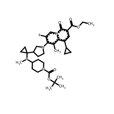 CCOC(=O)c1cc(C2CC2)c2c(C)c(N3CCC(C4(N(C)C5CCN(C(=O)OC(C)(C)C)CC5)CC4)C3)c(F)cn2c1=O